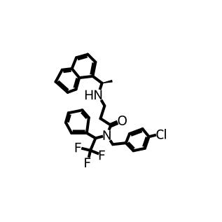 C[C@@H](NCCC(=O)N(Cc1ccc(Cl)cc1)C(c1ccccc1)C(F)(F)F)c1cccc2ccccc12